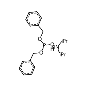 CC(C)NC(C)C.OP(OCc1ccccc1)OCc1ccccc1